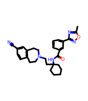 Cc1nc(-c2cccc(C(=O)NC3(CCN4CCc5ccc(C#N)cc5CC4)CCCCC3)c2)no1